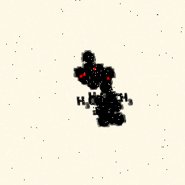 Cc1ccc(N(c2cc(C)cc(-c3ccc4c5c(ccc4c3)C3(c4ccccc4-c4ccccc43)c3cc(N(c4ccccc4)c4ccc(-c6ccccc6)cc4-c4ccccc4)c4ccccc4c3-5)c2C)c2cc3c(c4ccccc24)-c2c(ccc4ccccc24)C32c3ccccc3-c3ccccc32)cc1